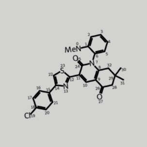 CNc1ccccc1-n1c2c(cc(-c3nc(-c4ccc(Cl)cc4)cs3)c1=O)C(=O)CC(C)(C)C2